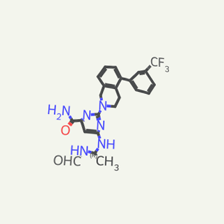 C[C@@H](NC=O)Nc1cc(C(N)=O)nc(N2CCc3c(cccc3-c3cccc(C(F)(F)F)c3)C2)n1